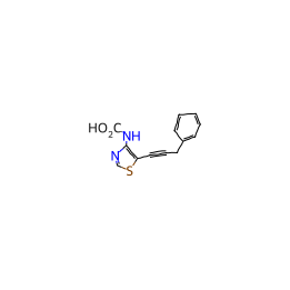 O=C(O)Nc1ncsc1C#CCc1ccccc1